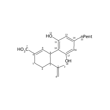 C=C(C)C1CCC(C(=O)O)=CC1c1c(O)cc(CCCCC)cc1O